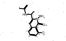 Bn1c(C(C)NC(=C)C)cc2cccc(Cl)c2c1=O